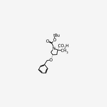 CC(C)(C)OC(=O)N1C[C@@H](OCc2ccccc2)C[C@@]1(C)C(=O)O